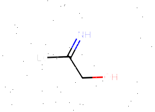 CCC(=N)CO